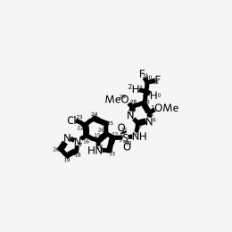 [2H]C([2H])(c1c(OC)nc(NS(=O)(=O)c2c[nH]c3c(-n4cccn4)c(Cl)ccc23)nc1OC)C(F)F